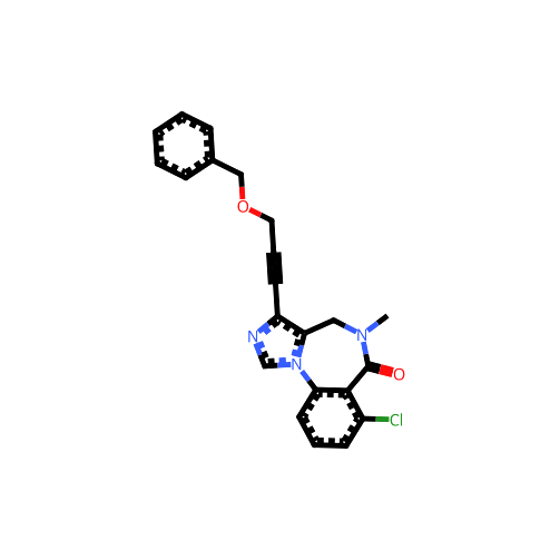 CN1Cc2c(C#CCOCc3ccccc3)ncn2-c2cccc(Cl)c2C1=O